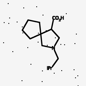 CC(C)CN1CC(C(=O)O)C2(CCCC2)C1